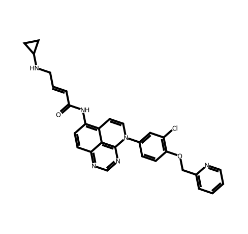 O=C(/C=C/CNC1CC1)Nc1ccc2ncnc3c2c1C=CN3c1ccc(OCc2ccccn2)c(Cl)c1